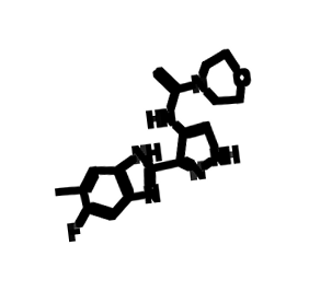 C=C(Nc1c[nH]nc1-c1nc2cc(F)c(C)cc2[nH]1)N1CCOCC1